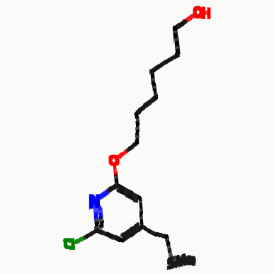 CSCc1cc(Cl)nc(OCCCCCCO)c1